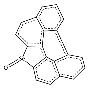 O=[Se]1c2ccc3cccc4c5cccc6ccc1c(c2c34)c65